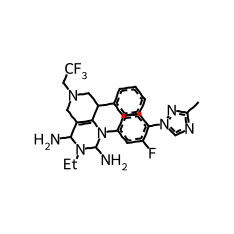 CCN1C(N)C2=C(C(c3ccccc3)CN(CC(F)(F)F)C2)N(c2ccc(-n3cnc(C)n3)c(F)c2)C1N